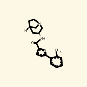 Cc1ccccc1-c1ccc(C(=O)N[C@@H]2C[C@@H]3CCN(C3)C2)s1